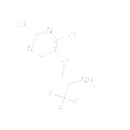 NC(COc1cnc(Cl)nc1Cl)C(F)(F)F